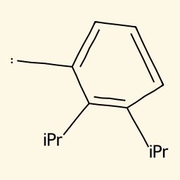 [CH]c1cccc(C(C)C)c1C(C)C